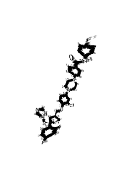 O=C(Nc1ccc(F)cc1)c1ccc(N2CCN(c3ccc(OC[C@H]4CO[C@@](Cn5cncn5)(c5ccc(F)cc5F)C4)c(Cl)c3)CC2)cc1